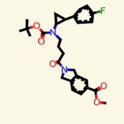 COC(=O)c1ccc2c(c1)CN(C(=O)CCCN(C(=O)OC(C)(C)C)C1CC1c1ccc(F)cc1)C2